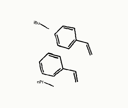 C=Cc1ccccc1.C=Cc1ccccc1.CCC(C)C.CCCC